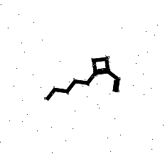 C=CC1=C(CCCCC)CC1